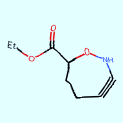 CCOC(=O)C1CCC#CNO1